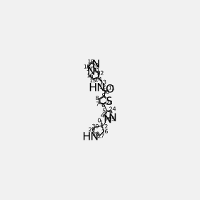 CC1(Cn2cc(-c3ccc(C(=O)NCc4ccn5ccnc5c4)s3)cn2)CCNCC1